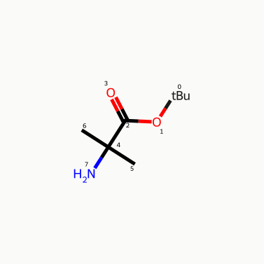 [CH2]C(C)(C)OC(=O)C(C)(C)N